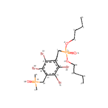 CCCCOP(=O)(Cc1c(Br)c(Br)c(CP(C)(C)=O)c(Br)c1Br)OCCCC